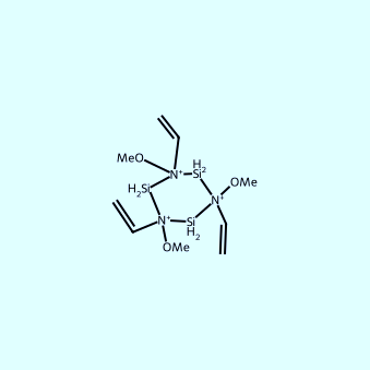 C=C[N+]1(OC)[SiH2][N+](C=C)(OC)[SiH2][N+](C=C)(OC)[SiH2]1